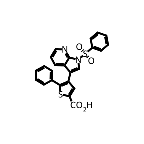 O=C(O)c1cc(-c2cn(S(=O)(=O)c3ccccc3)c3ncccc23)c(-c2ccccc2)s1